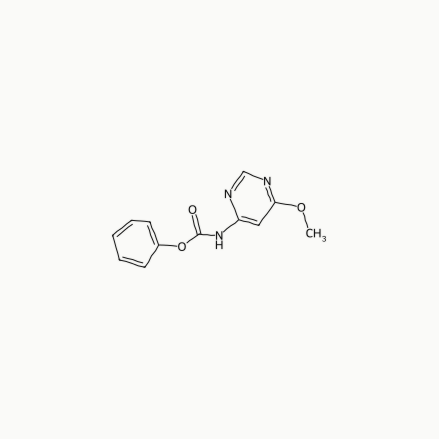 COc1cc(NC(=O)Oc2ccccc2)ncn1